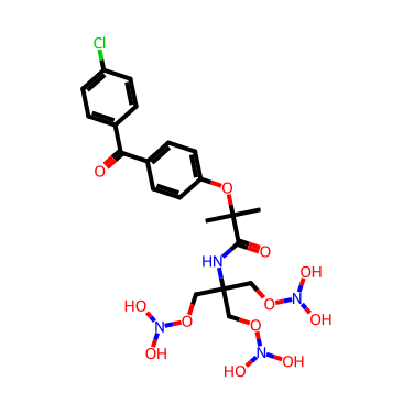 CC(C)(Oc1ccc(C(=O)c2ccc(Cl)cc2)cc1)C(=O)NC(CON(O)O)(CON(O)O)CON(O)O